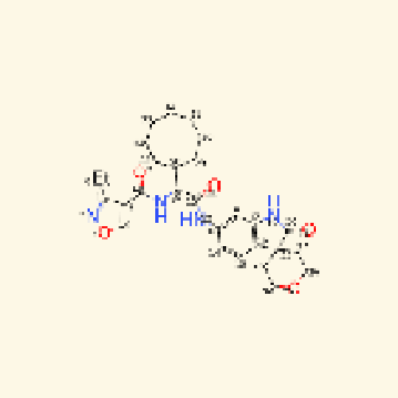 CCc1nocc1C(=O)NC(C(=O)Nc1ccc2c(c1)NC(=O)C21CCOCC1)C1CCCCCCC1